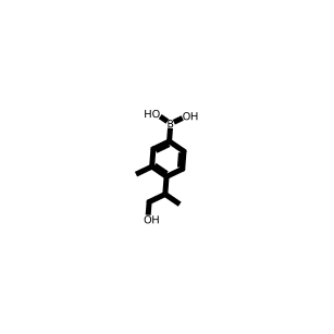 Cc1cc(B(O)O)ccc1C(C)CO